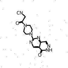 [C-]#[N+]CC(=O)N1CCN(c2ncc3c(=O)[nH]ncc3n2)CC1